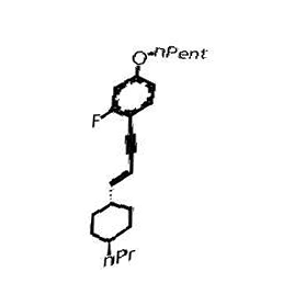 CCCCCOc1ccc(C#CC=C[C@H]2CC[C@H](CCC)CC2)c(F)c1